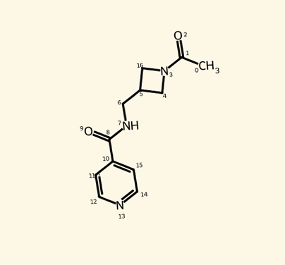 CC(=O)N1CC(CNC(=O)c2[c]cncc2)C1